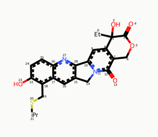 CCC1(O)C(=O)OCc2c1cc1n(c2=O)Cc2cc3c(CSC(C)C)c(O)ccc3nc2-1